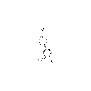 Cc1cc(N2CCN(C=O)CC2)ncc1Br